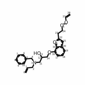 C=CCN(Cc1ccccc1)CC(O)COc1cccc2cc(CCOOC=C)oc12